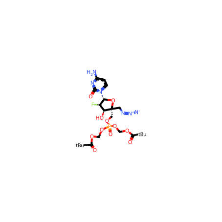 CC(C)(C)C(=O)OCOP(=O)(OCOC(=O)C(C)(C)C)OC[C@@]1(CN=[N+]=[N-])O[C@@H](n2ccc(N)nc2=O)[C@H](F)[C@@H]1O